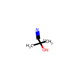 CC([11CH3])(O)C#N